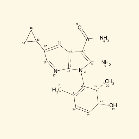 CC1=C(n2c(N)c(C(N)=O)c3cc(C4CC4)cnc32)[C@H](C)[C@H](O)C=C1